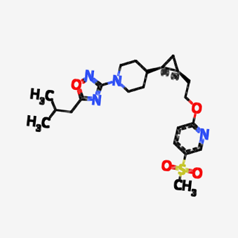 CC(C)Cc1nc(N2CCC([C@H]3C[C@H]3CCOc3ccc(S(C)(=O)=O)cn3)CC2)no1